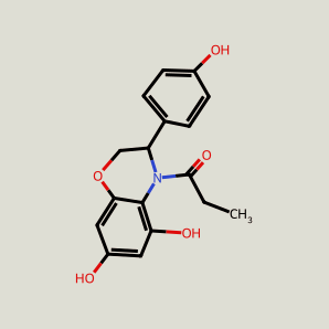 CCC(=O)N1c2c(O)cc(O)cc2OCC1c1ccc(O)cc1